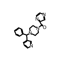 O=C(c1cnccn1)N1CCN(C(c2ccccc2)c2cccnc2)CC1